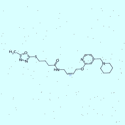 Cc1nnc(SCCCC(=O)NC/C=C\COc2cc(CN3CCCCC3)ccn2)o1